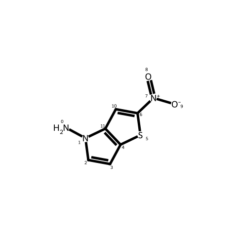 Nn1ccc2sc([N+](=O)[O-])cc21